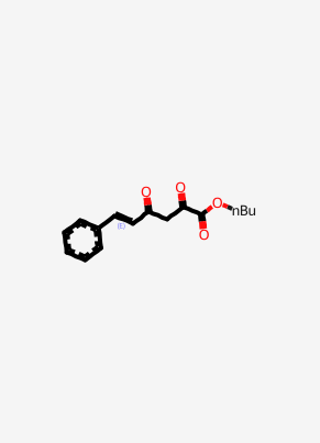 CCCCOC(=O)C(=O)CC(=O)/C=C/c1ccccc1